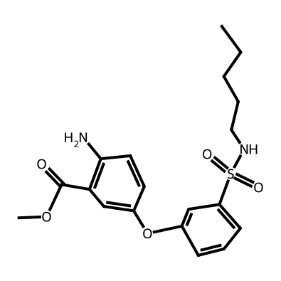 CCCCCNS(=O)(=O)c1cccc(Oc2ccc(N)c(C(=O)OC)c2)c1